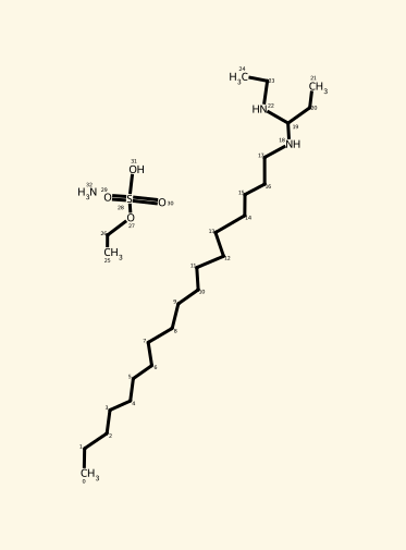 CCCCCCCCCCCCCCCCCCNC(CC)NCC.CCOS(=O)(=O)O.N